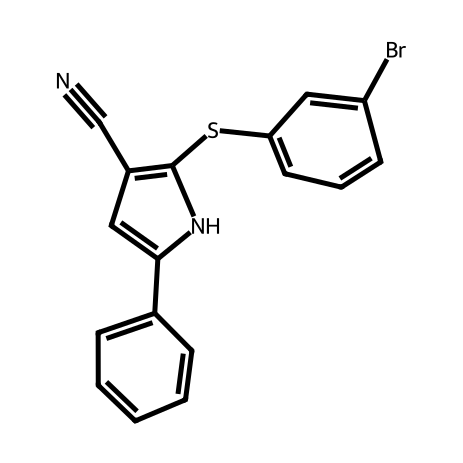 N#Cc1cc(-c2ccccc2)[nH]c1Sc1cccc(Br)c1